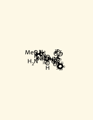 COc1nc(N)nc2c1ncn2[C@@H]1O[C@H](COP(=O)(NC(C)C(=O)OC(C)C)Oc2ccccc2)[C@H](O)[C@@]1(C)F